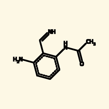 CC(=O)Nc1cccc(N)c1C=N